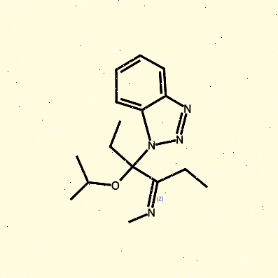 CC/C(=N/C)C(CC)(OC(C)C)n1nnc2ccccc21